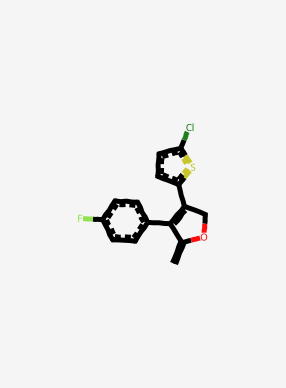 C=C1OCC(c2ccc(Cl)s2)=C1c1ccc(F)cc1